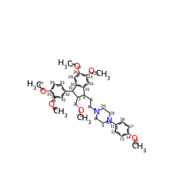 COCC1C(CCN2CCN(c3ccc(OC)cc3)CC2)c2cc(OC)c(OC)cc2C1c1ccc(OC)c(OC)c1